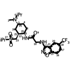 CC(C)N(C)[C@@H]1CC[C@H](NC(=O)CNc2noc3ccc(C(F)(F)F)cc23)[C@@H](CS(=O)(=O)C(C)C)C1